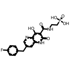 O=C(NCCP(=O)(O)O)c1c(O)c2ncc(Cc3ccc(F)cc3)cc2[nH]c1=O